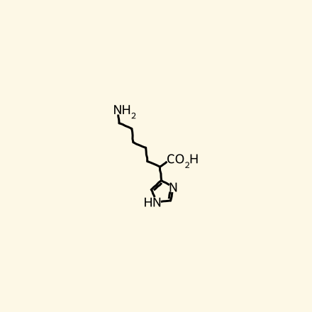 NCCCCCC(C(=O)O)c1c[nH]cn1